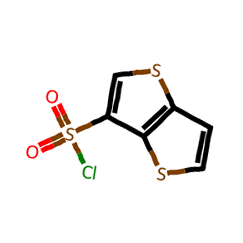 O=S(=O)(Cl)c1csc2ccsc12